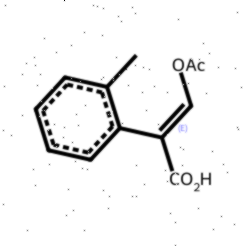 CC(=O)O/C=C(/C(=O)O)c1ccccc1C